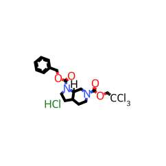 Cl.O=C(OCC(Cl)(Cl)Cl)N1CCC2CCN(C(=O)OCc3ccccc3)[C@@H]2C1